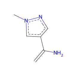 C=C(N)c1cnn(C)c1